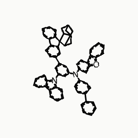 c1ccc(-c2ccc(N(c3cc(-c4ccc5c(c4)C4(c6ccccc6-5)C5CC6CC(C5)C4C6)cc(-n4c5ccccc5c5ccccc54)c3)c3ccc4c(c3)oc3ccccc34)cc2)cc1